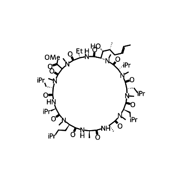 C/C=C/C[C@@H](C)[C@@H](O)[C@H]1C(=O)N[C@@H](CC)C(=O)N(C)C(C(=O)OC)C(=O)N(C)[C@@H](CC(C)C)C(=O)N[C@H](C(C)C)C(=O)N(C)[C@H](CCC(C)C)C(=O)N[C@H](C)C(=O)N[C@@H](C)C(=O)N(C)[C@H](CC(C)C)C(=O)N(C)[C@@H](CC(C)C)C(=O)N(C)[C@@H](C(C)C)C(=O)N1C